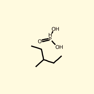 CCC(C)CC.O=[PH](O)O